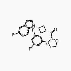 O=C([C@H]1C[C@@H](n2ccc3cc(F)ccc32)C1)N1OCC[C@H]1c1cc(F)cc(F)c1